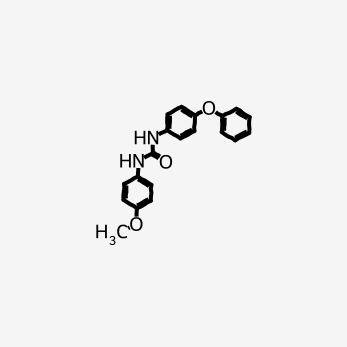 COc1ccc(NC(=O)Nc2ccc(Oc3ccccc3)cc2)cc1